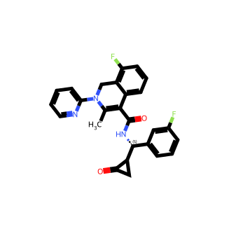 CC1=C(C(=O)N[C@H](c2cccc(F)c2)C2CC2=O)c2cccc(F)c2CN1c1ccccn1